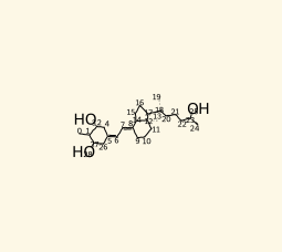 CC1[C@H](O)CC(=C/C=C2\CCC[C@@]3(C)C2CCC3[C@H](C)CCC[C@H](C)O)C[C@H]1O